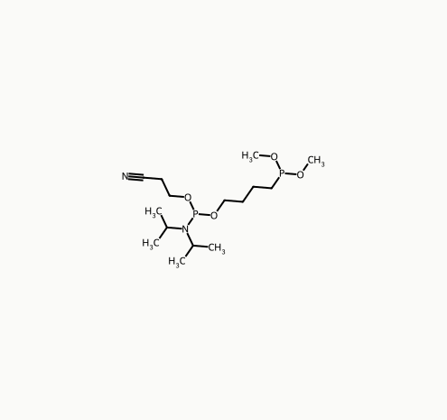 COP(CCCCOP(OCCC#N)N(C(C)C)C(C)C)OC